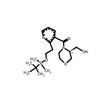 CC(C)(C)[Si](C)(C)OCCc1ncccc1C(=O)N1CCOC[C@@H]1CO